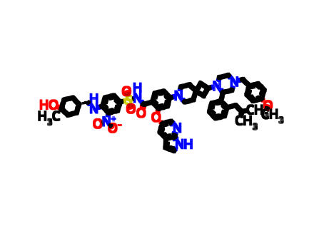 COc1ccc(CN2CCN(C3CC4(CCN(c5ccc(C(=O)NS(=O)(=O)c6ccc(NC[C@H]7CC[C@](C)(O)CC7)c([N+](=O)[O-])c6)c(Oc6cnc7[nH]ccc7c6)c5)CC4)C3)C(c3ccccc3CC(C)C)C2)cc1